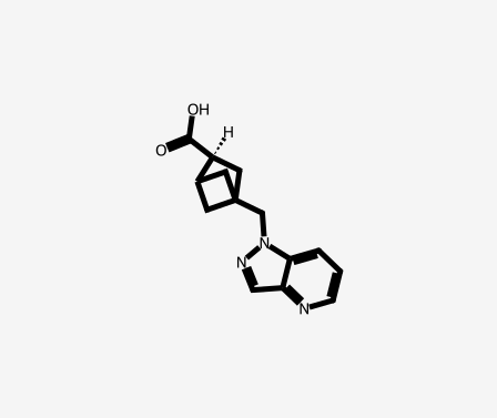 O=C(O)[C@H]1CC2(Cn3ncc4ncccc43)CC1C2